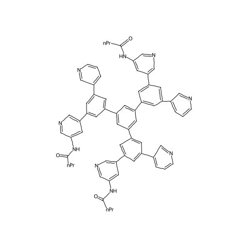 CCCC(=O)Nc1cncc(-c2cc(-c3cccnc3)cc(-c3cc(-c4cc(-c5cccnc5)cc(-c5cncc(NC(=O)CCC)c5)c4)cc(-c4cc(-c5cccnc5)cc(-c5cncc(NC(=O)CCC)c5)c4)c3)c2)c1